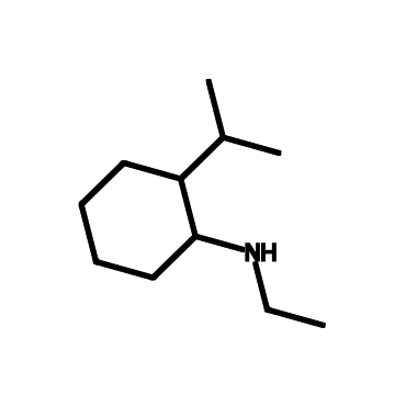 CCNC1CCCCC1C(C)C